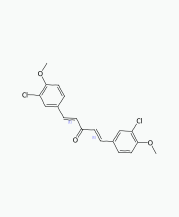 COc1ccc(/C=C/C(=O)/C=C/c2ccc(OC)c(Cl)c2)cc1Cl